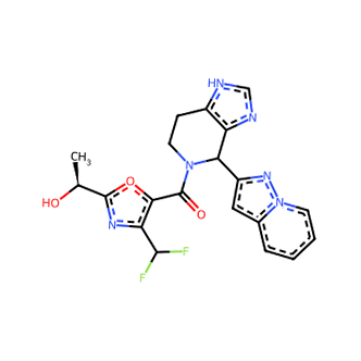 C[C@H](O)c1nc(C(F)F)c(C(=O)N2CCc3[nH]cnc3C2c2cc3ccccn3n2)o1